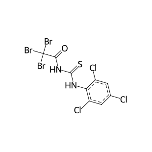 O=C(NC(=S)Nc1c(Cl)cc(Cl)cc1Cl)C(Br)(Br)Br